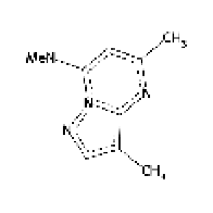 CNc1cc(C)nc2c(C)cnn12